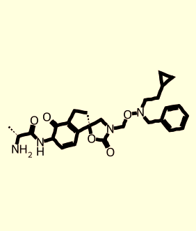 C[C@@H](N)C(=O)NC1C=CC2=C(CC[C@@]23CN(CON(CCC2CC2)Cc2ccccc2)C(=O)O3)C1=O